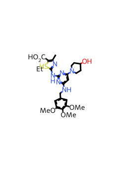 CC[SH]1C(Nc2nc(NCc3cc(OC)c(OC)c(OC)c3)cc(N3CCC(O)CC3)n2)=NC(C)=C1C(=O)O